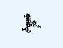 COCC1(CN(C)c2cc(-c3cc(C4CC4)nc(C(F)(F)F)c3)nc3nc(-c4cnc(N5[C@@H]6CC[C@H]5C[C@@H](OCC(=O)O)C6)cn4)[nH]c23)CCCCC1